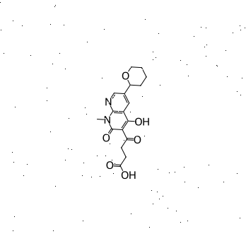 Cn1c(=O)c(C(=O)CCC(=O)O)c(O)c2cc(C3CCCCO3)cnc21